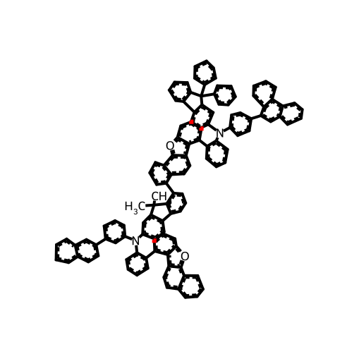 CC1(C)c2cc(N(c3cccc(-c4ccc5ccccc5c4)c3)c3ccccc3-c3cccc4oc5c6ccccc6ccc5c34)ccc2-c2cccc(-c3cccc4c3ccc3c4oc4cccc(-c5ccccc5N(c5ccc(-c6cc7ccccc7c7ccccc67)cc5)c5ccc6c(c5)C(c5ccccc5)(c5ccccc5)c5ccccc5-6)c43)c21